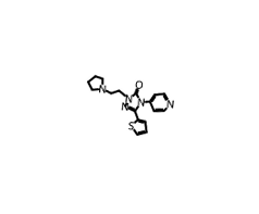 O=c1n(CCN2CCCC2)nc(-c2cccs2)n1-c1ccncc1